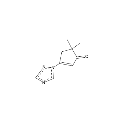 CC1(C)CC(n2cncn2)=CC1=O